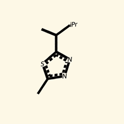 Cc1nnc(C(C)C(C)C)s1